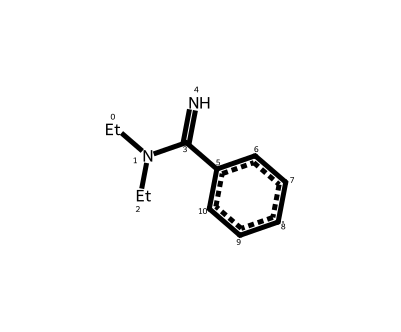 CCN(CC)C(=N)c1cc[c]cc1